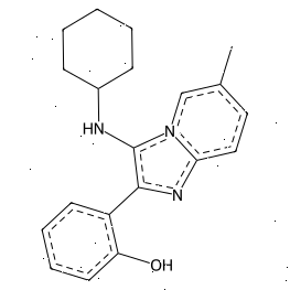 Cc1ccc2nc(-c3ccccc3O)c(NC3CCCCC3)n2c1